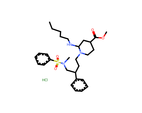 CCCCCNC1CC(C(=O)OC)CCN1CCC(CN(C)S(=O)(=O)c1ccccc1)c1ccccc1.Cl